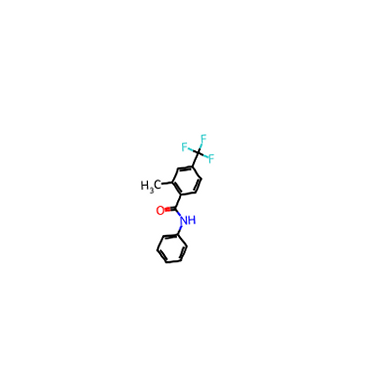 Cc1cc(C(F)(F)F)ccc1C(=O)Nc1ccccc1